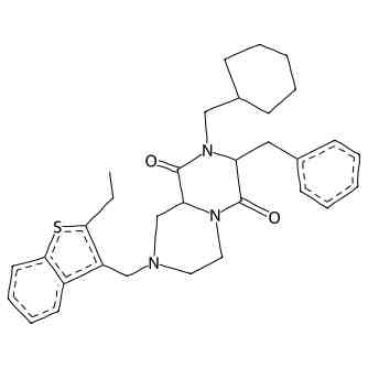 CCc1sc2ccccc2c1CN1CCN2C(=O)C(Cc3ccccc3)N(CC3CCCCC3)C(=O)C2C1